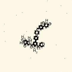 CCN(c1cc(-c2ccc(N3CCN(Cc4ccc(C5CCC(=O)NC5=O)c(F)c4)CC3)cc2)cc(C(=O)NCc2c(C)cc(C)[nH]c2=O)c1C)C1CCOCC1